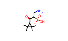 CC1(C)C(C(=O)C(CN)S(=O)(=O)O)C1(C)C